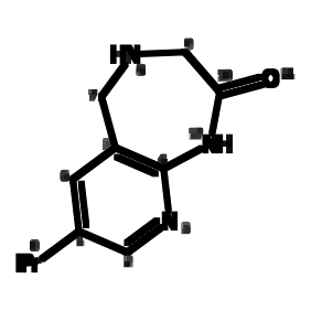 CC(C)c1cnc2c(c1)CNCC(=O)N2